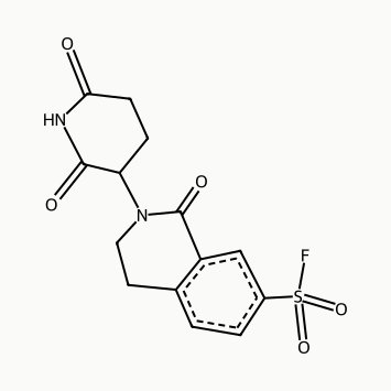 O=C1CCC(N2CCc3ccc(S(=O)(=O)F)cc3C2=O)C(=O)N1